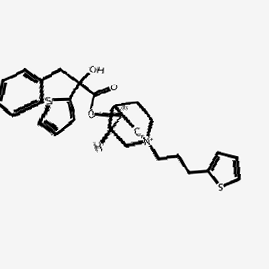 O=C(O[C@H]1C[N+]2(CCCc3cccs3)CCC1CC2)C(O)(Cc1ccccc1)c1cccs1